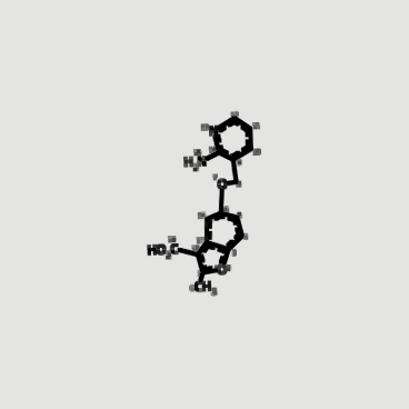 Cc1oc2ccc(OCc3cccnc3N)cc2c1C(=O)O